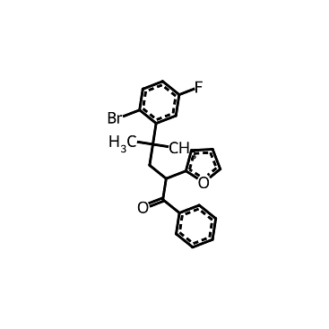 CC(C)(CC(C(=O)c1ccccc1)c1ccco1)c1cc(F)ccc1Br